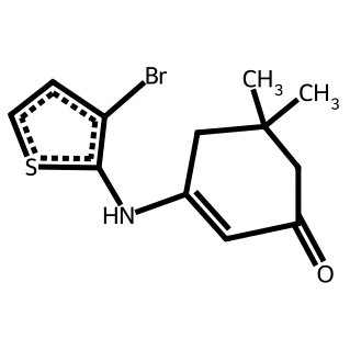 CC1(C)CC(=O)C=C(Nc2sccc2Br)C1